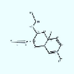 CC#C[C@H]1CC2C=C(F)C=CC2(C)CC1SCC